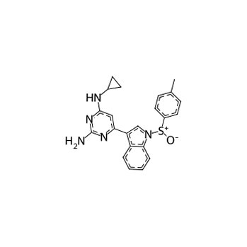 Cc1ccc([S+]([O-])n2cc(-c3cc(NC4CC4)nc(N)n3)c3ccccc32)cc1